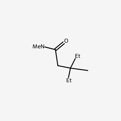 CCC(C)(CC)CC(=O)NC